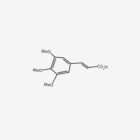 COc1cc(C=CC(=O)O)cc(OC)c1OC